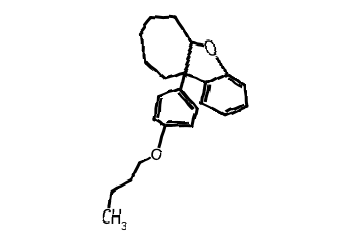 CCCCOc1ccc(C23CCCCCC2Oc2ccccc23)cc1